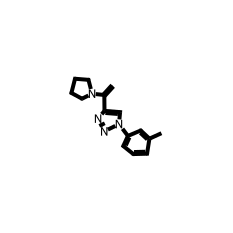 C=C(c1cn(-c2cccc(C)c2)nn1)N1CCCC1